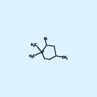 CCC1CC(C)CC[N+]1(C)C